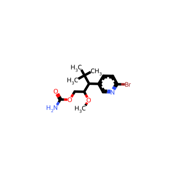 COC(COC(N)=O)C(c1ccc(Br)nc1)C(C)(C)C